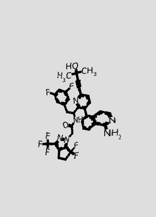 CC(C)(O)C#Cc1ccc(-c2cccc3c(N)nccc23)c(C(Cc2cc(F)cc(F)c2)NC(=O)Cn2nc(C(F)(F)F)c3c2C(F)(F)CC3)n1